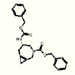 O=C(N[C@H]1CC2=C(C2)CN(C(=O)OCc2ccccc2)C1)OCc1ccccc1